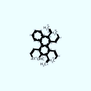 C=Cc1c(C=O)c(/C=C\CC)c2c(c1/C=C\C)c(/C=C\C)c(C=C)c1ccccc12